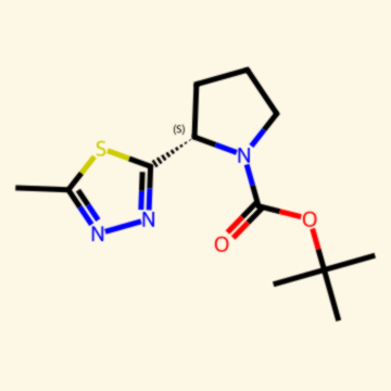 Cc1nnc([C@@H]2CCCN2C(=O)OC(C)(C)C)s1